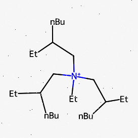 CCCCC(CC)C[N+](CC)(CC(CC)CCCC)CC(CC)CCCC